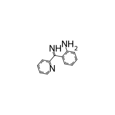 N=C(c1ccccn1)c1ccccc1N